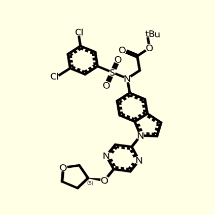 CC(C)(C)OC(=O)CN(c1ccc2c(ccn2-c2cnc(O[C@H]3CCOC3)cn2)c1)S(=O)(=O)c1cc(Cl)cc(Cl)c1